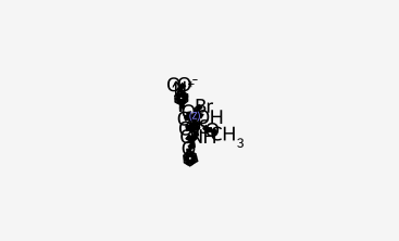 COCSC1C(NC(=O)COc2ccccc2)C(=O)N1/C(C(=O)OCc1ccc([N+](=O)[O-])cc1)=C(\O)CBr